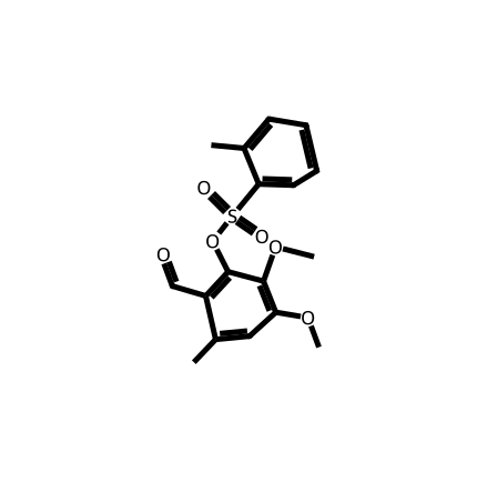 COc1cc(C)c(C=O)c(OS(=O)(=O)c2ccccc2C)c1OC